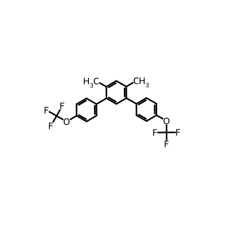 Cc1cc(C)c(-c2ccc(OC(F)(F)F)cc2)cc1-c1ccc(OC(F)(F)F)cc1